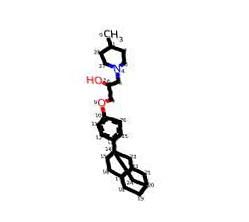 CC1CCN(CC(O)COc2ccc(C34CCC5CCC(CC5C3)C4)cc2)CC1